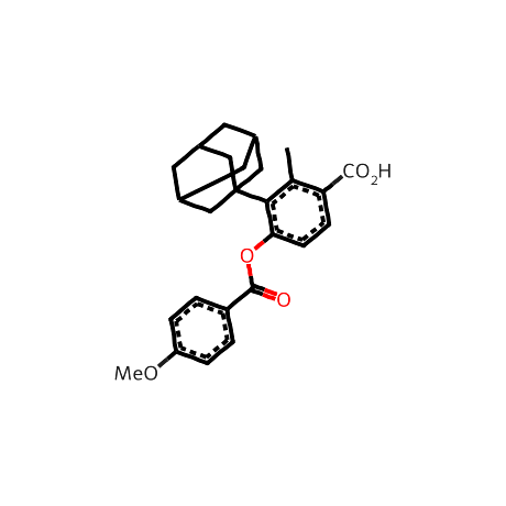 COc1ccc(C(=O)Oc2ccc(C(=O)O)c(C)c2C23CC4CC(CC(C4)C2)C3)cc1